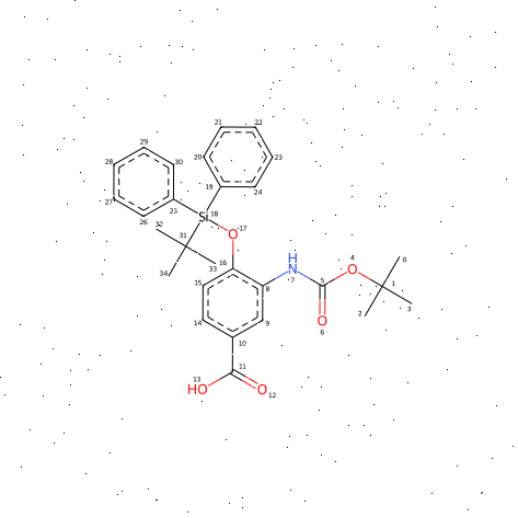 CC(C)(C)OC(=O)Nc1cc(C(=O)O)ccc1O[Si](c1ccccc1)(c1ccccc1)C(C)(C)C